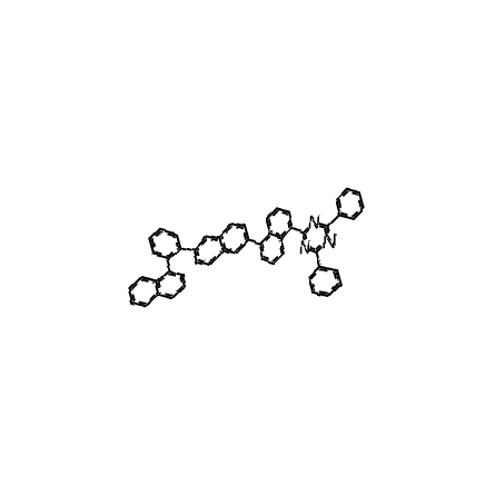 c1ccc(-c2nc(-c3ccccc3)nc(-c3cccc4c(-c5ccc6cc(-c7ccccc7-c7cccc8ccccc78)ccc6c5)cccc34)n2)cc1